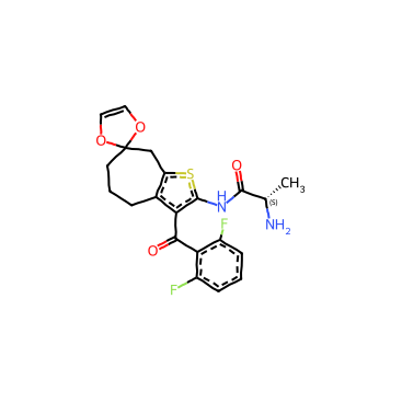 C[C@H](N)C(=O)Nc1sc2c(c1C(=O)c1c(F)cccc1F)CCCC1(C2)OC=CO1